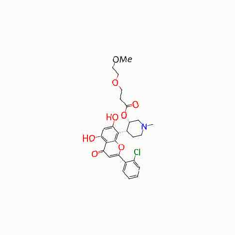 COCCOCCC(=O)O[C@@H]1CN(C)CC[C@@H]1c1c(O)cc(O)c2c(=O)cc(-c3ccccc3Cl)oc12